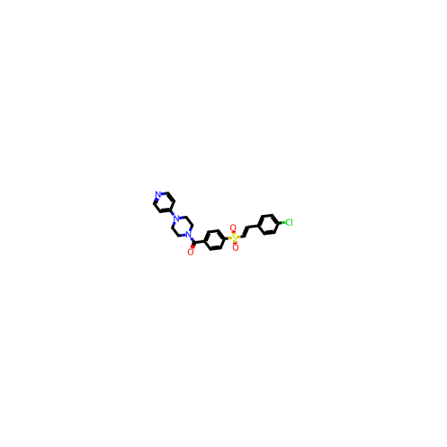 O=C(c1ccc(S(=O)(=O)C=Cc2ccc(Cl)cc2)cc1)N1CCN(c2ccncc2)CC1